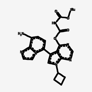 CC(C)(C)OC(=O)NC(=O)Oc1ncnc2c1c(-c1ccc(N)c3nccn13)cn2C1CCC1